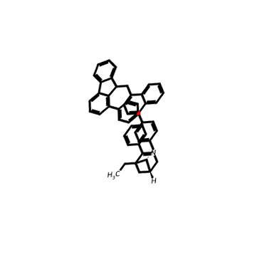 CCC12C[C@@H](CN=C1c1ccccc1)[C@H]2Cc1ccc(-c2ccc(CC3c4ccccc4-c4cccc(-c5ccccc5)c43)c3ccccc23)cc1